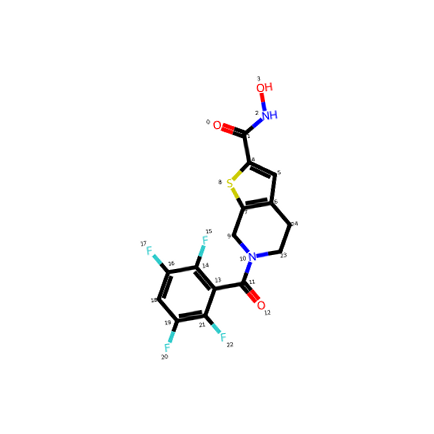 O=C(NO)c1cc2c(s1)CN(C(=O)c1c(F)c(F)cc(F)c1F)CC2